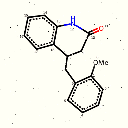 COc1ccccc1CC1CC(=O)Nc2ccccc21